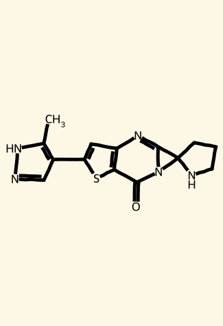 Cc1[nH]ncc1-c1cc2nc3n(c(=O)c2s1)C31CCCN1